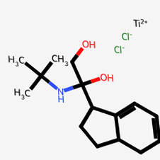 CC(C)(C)NC(O)(CO)C1CCC2CC=CC=C21.[Cl-].[Cl-].[Ti+2]